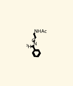 [3H]C(=NOCCNC(C)=O)c1ccccc1